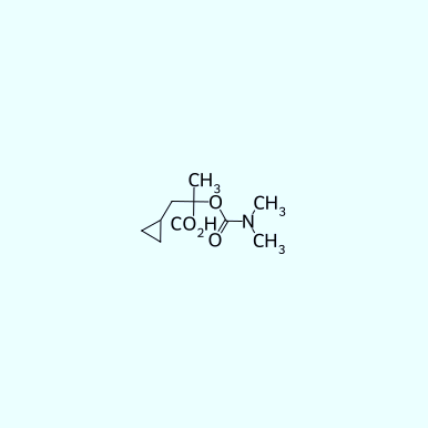 CN(C)C(=O)OC(C)(CC1CC1)C(=O)O